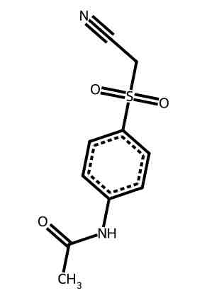 CC(=O)Nc1ccc(S(=O)(=O)CC#N)cc1